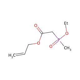 C=CCOC(=O)CP(C)(=O)OCC